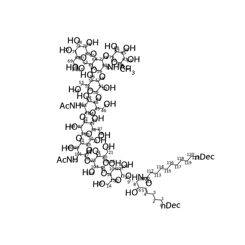 CCCCCCCCCCCCC/C=C/[C@@H](O)[C@H](CO[C@@H]1OC(CO)[C@@H](O[C@@H]2OC(CO)[C@H](O)[C@H](O[C@@H]3OC(CO)[C@@H](O[C@@H]4OC(CO)[C@H](O)[C@H](O[C@@H]5OC(CO)[C@@H](O[C@@H]6OC(CO)[C@H](O)[C@H](O[C@@H]7OC(CO)[C@@H](O[C@@H]8OC(CO)[C@H](O)[C@H](O)C8O)[C@H](O[C@H]8OC(C)[C@@H](O)C(O)[C@@H]8O)C7NC(C)=O)C6O)[C@H](O)C5NC(C)=O)C4O)[C@H](O)C3NC(C)=O)C2O)[C@H](O)C1O)NC(=O)CCCCCCCCCCCCCCCCCCC